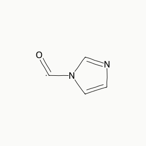 O=[C]n1ccnc1